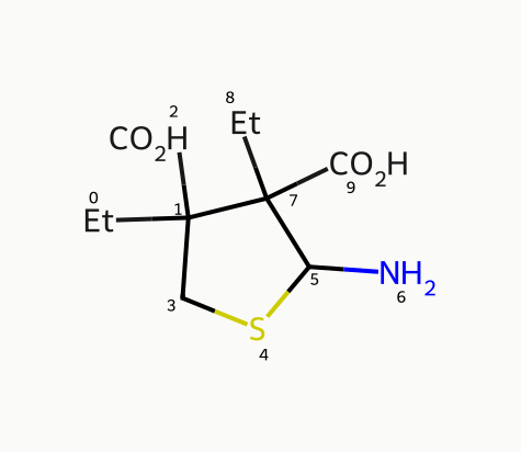 CCC1(C(=O)O)CSC(N)C1(CC)C(=O)O